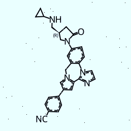 N#Cc1ccc(-c2cc3n(c2)Cc2cc(N4C[C@@H](CNC5CC5)CC4=O)ccc2-n2ccnc2-3)cc1